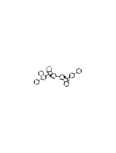 C1=CC2C(c3ccccc3)=CC=C(N3c4ccc(-c5ccc6c(c5)c5ccccc5n6-c5ccc(-c6ccccc6)cc5)cc4C4CCCCC43)C2C=C1